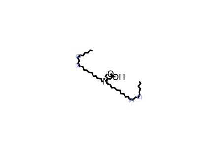 CCCCC/C=C\C/C=C\CCCCCCCCCCN(CCCCCCCCCC/C=C\C/C=C\CCCCC)C(CC)CC(=O)O